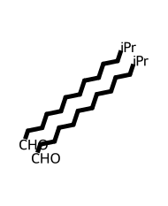 CC(C)CCCCCCCCCCC=O.CC(C)CCCCCCCCCCC=O